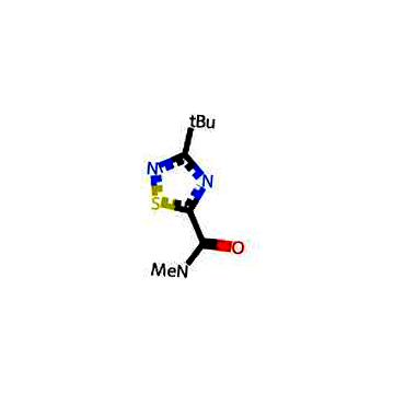 CNC(=O)c1nc(C(C)(C)C)ns1